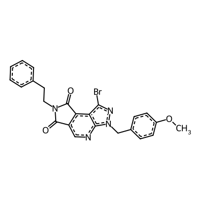 COc1ccc(Cn2nc(Br)c3c4c(cnc32)C(=O)N(CCc2ccccc2)C4=O)cc1